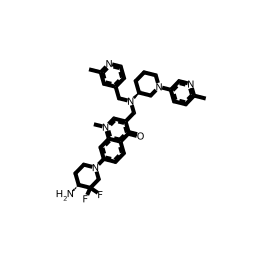 Cc1ccc(N2CCC[C@H](N(Cc3ccnc(C)c3)Cc3cn(C)c4cc(N5CC[C@@H](N)C(F)(F)C5)ccc4c3=O)C2)cn1